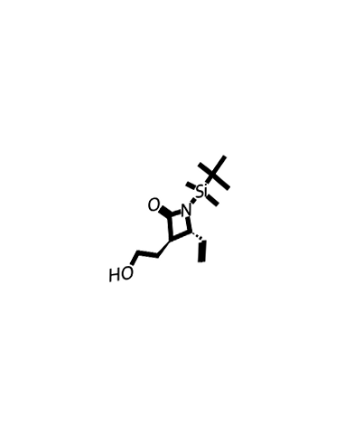 C=C[C@@H]1[C@@H](CCO)C(=O)N1[Si](C)(C)C(C)(C)C